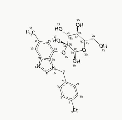 CCc1ccc(Cn2cnc3cc(C)cc(O[C@@]4(O)[C@H](O)O[C@@H](CO)[C@H](O)[C@H]4O)c32)cc1